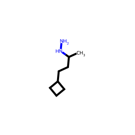 CC(CCC1CCC1)NN